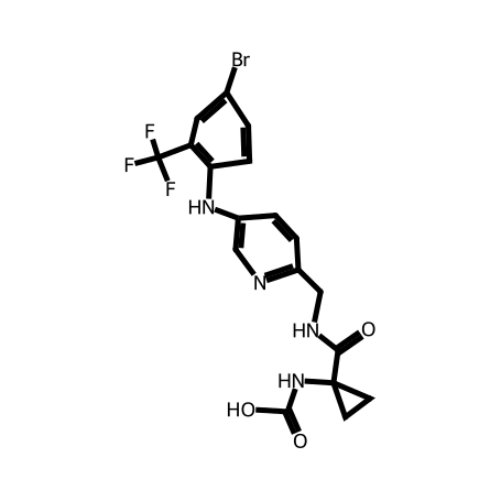 O=C(O)NC1(C(=O)NCc2ccc(Nc3ccc(Br)cc3C(F)(F)F)cn2)CC1